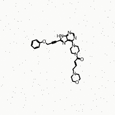 O=C(C=CCN1CCOCC1)N1CCN(c2ncnc3[nH]c(C#CCOc4ccccc4)nc23)CC1